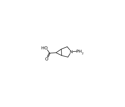 O=C(O)C1C2CN(P)CC21